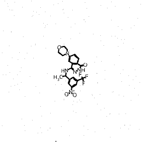 CC(Nc1n[nH]c(=O)c2ccc(N3CCOCC3)cc12)c1cc([N+](=O)[O-])cc(C(F)(F)F)c1